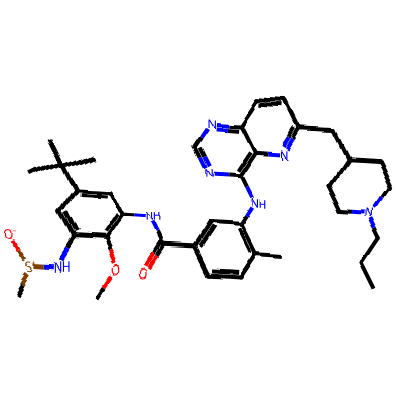 CCCN1CCC(Cc2ccc3ncnc(Nc4cc(C(=O)Nc5cc(C(C)(C)C)cc(N[S+](C)[O-])c5OC)ccc4C)c3n2)CC1